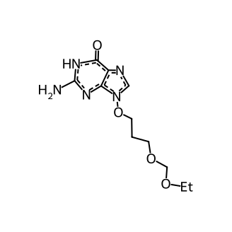 CCOCOCCCOn1cnc2c(=O)[nH]c(N)nc21